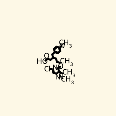 COc1ccc(CC(CC[C@@H](C)Oc2nc(Cl)cc3nn(C)c(C)c23)CC(=O)O)cc1